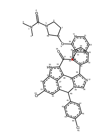 CN(C)C(=O)N1CCC(Oc2ncccc2NC(=O)c2[nH]c3cc(Cl)cc4c3c2-c2c(-c3ccccc3)ncn2C4c2ccc(Cl)cc2)C1